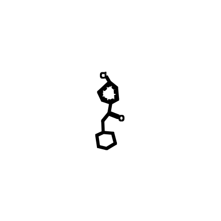 O=C(CC1CCCCC1)c1ccc(Cl)cc1